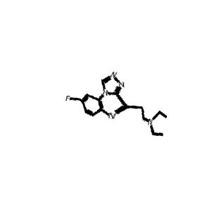 CCN(CC)CCc1nc2ccc(F)cc2n2cnnc12